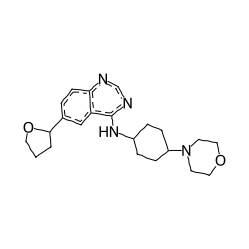 c1nc(NC2CCC(N3CCOCC3)CC2)c2cc(C3CCCO3)ccc2n1